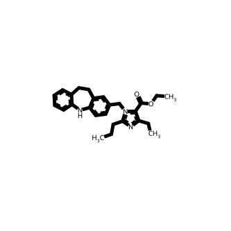 CCCc1nc(CC)c(C(=O)OCC)n1Cc1ccc2c(c1)CCc1ccccc1N2